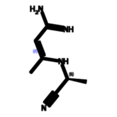 C/C(=C/C(=N)N)N[C@@H](C)C#N